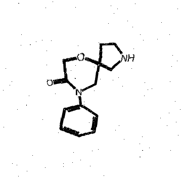 O=C1COC2(CCNC2)CN1c1ccccc1